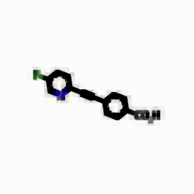 O=C(O)c1ccc(C#Cc2ccc(F)cn2)cc1